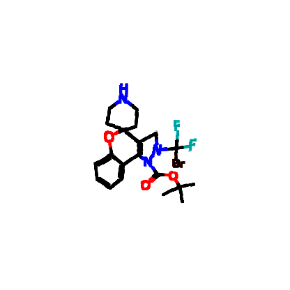 CC(C)(C)OC(=O)N1C2=C(CN1C(F)(F)Br)C1(CCNCC1)Oc1ccccc12